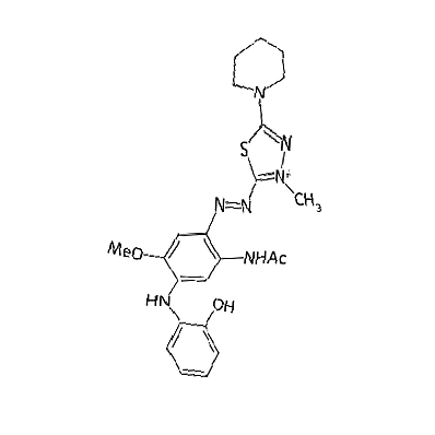 COc1cc(N=Nc2sc(N3CCCCC3)n[n+]2C)c(NC(C)=O)cc1Nc1ccccc1O